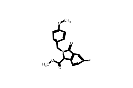 COC(=O)C1c2ccc(F)cc2C(=O)N1Cc1ccc(OC)cc1